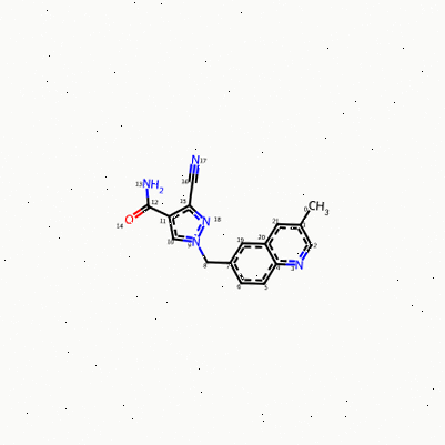 Cc1cnc2ccc(Cn3cc(C(N)=O)c(C#N)n3)cc2c1